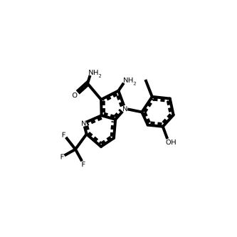 Cc1ccc(O)cc1-n1c(N)c(C(N)=O)c2nc(C(F)(F)F)ccc21